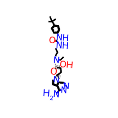 CC(O)N(CCCNC(=O)Nc1ccc(C(C)(C)C)cc1)C[C@@H]1CC[C@H](n2ccc3c(N)nncc32)O1